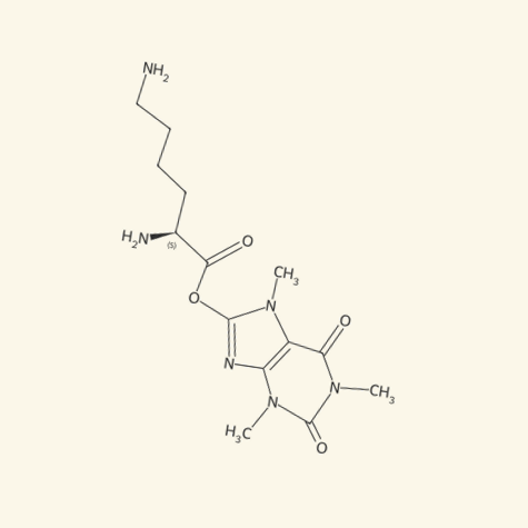 Cn1c(=O)c2c(nc(OC(=O)[C@@H](N)CCCCN)n2C)n(C)c1=O